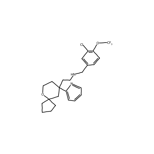 FC(F)(F)Oc1ccc(CNCCC2(c3ccccn3)CCOC3(CCCC3)C2)cc1Cl